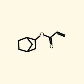 C=CC(=O)OC1CC2CCC1C2